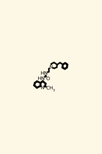 Cc1cc(NC(=O)NCCN2CCC(Cc3ccccc3)CC2)c2ccccc2n1